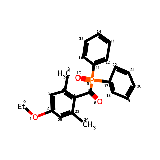 CCOc1cc(C)c(C(=O)P(=O)(c2ccccc2)c2ccccc2)c(C)c1